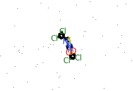 O=S(=O)(c1cc(Cl)cc(Cl)c1)N1CCN(c2nc(-c3cc(Cl)cc(Cl)c3)cs2)CC1